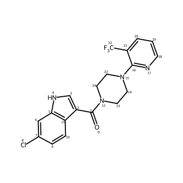 O=C(c1c[nH]c2cc(Cl)ccc12)N1CCN(c2ncccc2C(F)(F)F)CC1